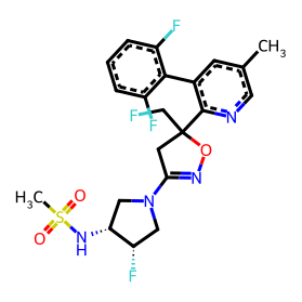 Cc1cnc(C2(CF)CC(N3C[C@H](F)[C@H](NS(C)(=O)=O)C3)=NO2)c(-c2c(F)cccc2F)c1